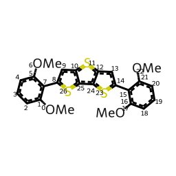 COc1cccc(OC)c1-c1cc2sc3cc(-c4c(OC)cccc4OC)sc3c2s1